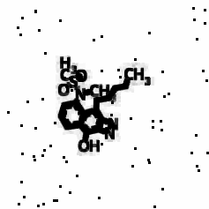 CCCCCc1c2c(c(O)c3cccc(N(C)S(C)(=O)=O)c13)N=N2